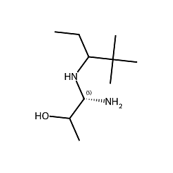 CCC(N[C@H](N)C(C)O)C(C)(C)C